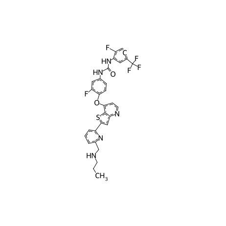 CCCNCc1cccc(-c2cc3nccc(Oc4ccc(NC(=O)Nc5cc(C(F)(F)F)ccc5F)cc4F)c3s2)n1